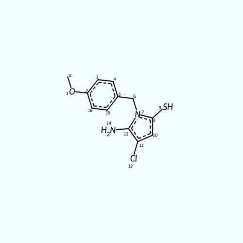 COc1ccc(Cn2c(S)cc(Cl)c2N)cc1